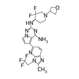 Cc1nc2ccc(-c3ccn4nc(N[C@@H]5CCN(C6COC6)CC5(F)F)nc(N)c34)nc2n1CC(F)(F)F